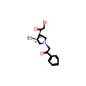 CC[C@@H]1CN(CC(=O)c2ccccc2)C[C@@H]1C(=O)CBr